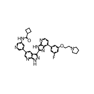 O=C(Nc1cncc(-c2cnc3[nH]nc(-c4nc5c(-c6cc(F)cc(OCCN7CCCC7)c6)ccnc5[nH]4)c3c2)c1)C1CCC1